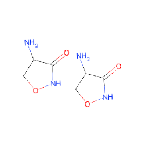 NC1CONC1=O.NC1CONC1=O